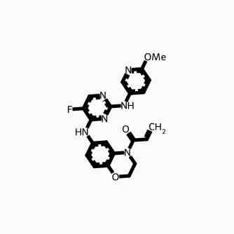 C=CC(=O)N1CCOc2ccc(Nc3nc(Nc4ccc(OC)nc4)ncc3F)cc21